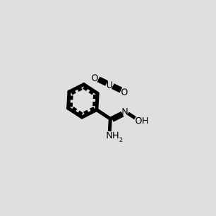 NC(=NO)c1ccccc1.[O]=[U]=[O]